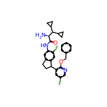 N[C@H](C(=O)Nc1cc2c(cc1F)C(c1cc(F)cnc1OCc1ccccc1)CC2)C(C1CC1)C1CC1